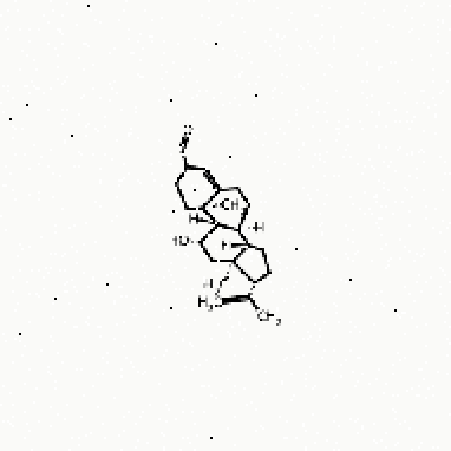 C=C(C)[C@H]1CC[C@H]2[C@@H]3CCC4=CC(C=O)CC[C@]4(C)[C@H]3[C@@H](O)C[C@]12C